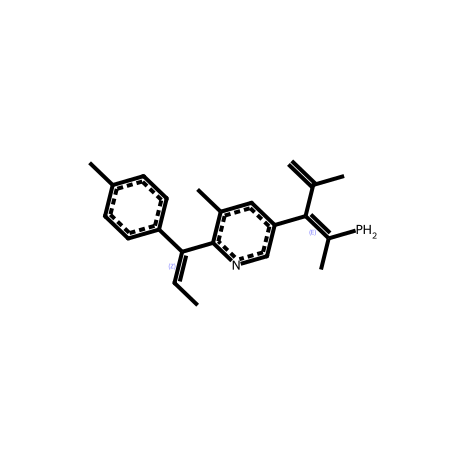 C=C(C)/C(=C(/C)P)c1cnc(/C(=C\C)c2ccc(C)cc2)c(C)c1